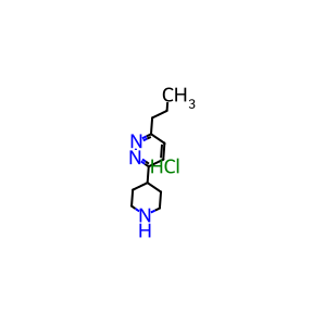 CCCc1ccc(C2CCNCC2)nn1.Cl